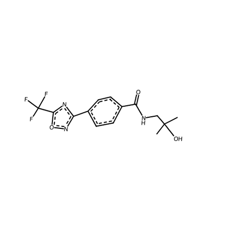 CC(C)(O)CNC(=O)c1ccc(-c2noc(C(F)(F)F)n2)cc1